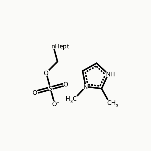 CCCCCCCCOS(=O)(=O)[O-].Cc1[nH]cc[n+]1C